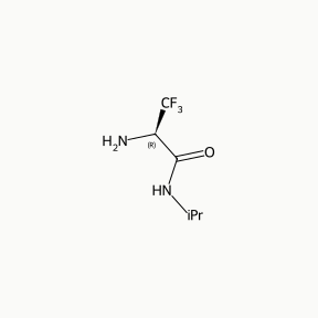 CC(C)NC(=O)[C@@H](N)C(F)(F)F